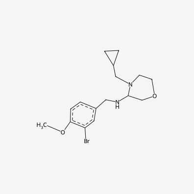 COc1ccc(CNC2COCCN2CC2CC2)cc1Br